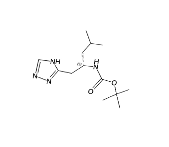 CC(C)C[C@@H](Cc1nnc[nH]1)NC(=O)OC(C)(C)C